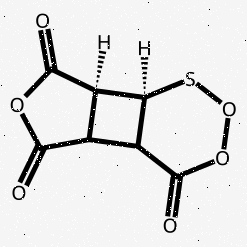 O=C1OC(=O)[C@@H]2C1C1C(=O)OOS[C@@H]12